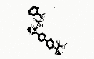 COC(=O)C1(c2ccc(-c3ccc(-c4ncoc4NC(=O)O[C@H](C)c4ccccc4)cc3)cc2)CC1